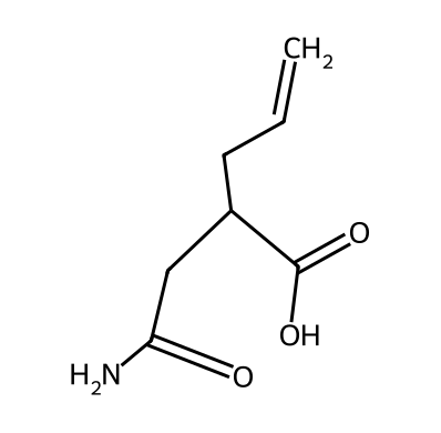 C=CCC(CC(N)=O)C(=O)O